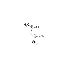 C[SiH](C)C[SiH](C)Cl